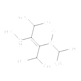 CN/C(=C(\C(C)C)[S+]([O-])C(C)C)C(C)C